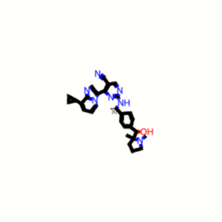 C[C@H](Nc1ncc(C#N)c(-c2cnc3c(C4CC4)cccn23)n1)c1ccc(C(O)C2(C)CCCN2C)cc1